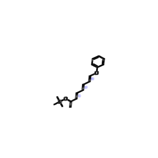 C=C(/C=C/C=C/C=C/Oc1ccccc1)O[Si](C)(C)C